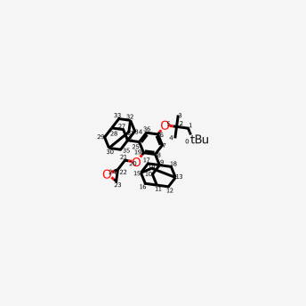 CC(C)(C)CC(C)(C)Oc1cc(C23CC4CC(CC(C4)C2)C3)c(OCC2CO2)c(C23CC4CC(CC(C4)C2)C3)c1